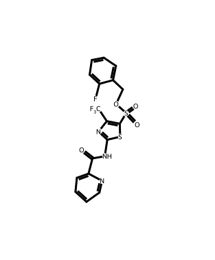 O=C(Nc1nc(C(F)(F)F)c(S(=O)(=O)OCc2ccccc2F)s1)c1ccccn1